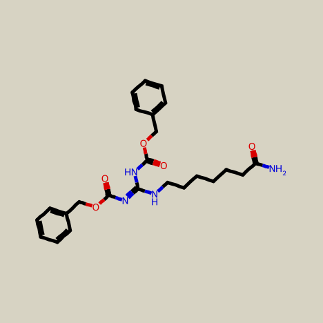 NC(=O)CCCCCCNC(=NC(=O)OCc1ccccc1)NC(=O)OCc1ccccc1